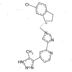 Cc1[nH]nnc1-c1ccnc(-c2cn(C[C@H]3CCc4ccc(Cl)cc43)cn2)c1